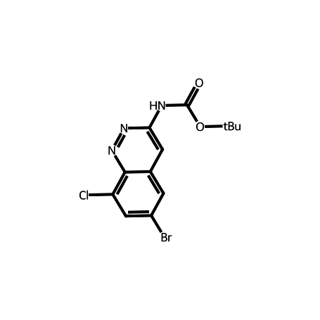 CC(C)(C)OC(=O)Nc1cc2cc(Br)cc(Cl)c2nn1